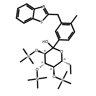 CC[C@H]1OC(O)(c2ccc(C)c(Cc3nc4ccccc4s3)c2)[C@H](O[Si](C)(C)C)[C@@H](O[Si](C)(C)C)[C@@H]1O[Si](C)(C)C